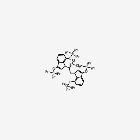 CC(C)[Si](OC1=CC(C[CH](C2C=C(O[Si](C(C)C)(C(C)C)C(C)C)c3cccc(O[Si](C(C)C)(C(C)C)C(C)C)c32)[Zr]([Cl])[Cl])c2c(O[Si](C(C)C)(C(C)C)C(C)C)cccc21)(C(C)C)C(C)C